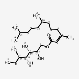 CC(=CC(=O)OC[C@H](O)[C@@H](O)[C@H](O)[C@H](O)CO)CCCC(C)CCCC(C)C